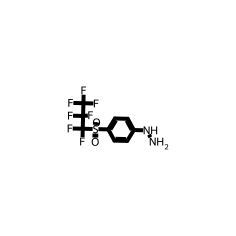 NNc1ccc(S(=O)(=O)C(F)(F)C(F)(F)C(F)(F)F)cc1